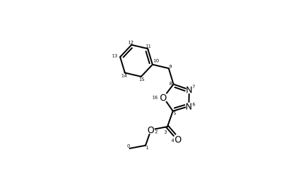 CCOC(=O)c1nnc(CC2=CC=CCC2)o1